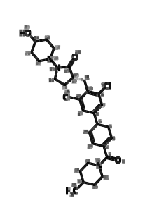 O=C(C1=CCC(c2cc(Cl)c(C[C@@H]3CCN(N4CCC(O)CC4)C3=O)c(Cl)c2)C=C1)N1CCC(C(F)(F)F)CC1